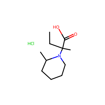 CCC(C)(C(=O)O)N1CCCCC1C.Cl